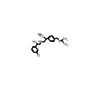 Br.CC(C)SCc1ccc(C(C)CNCC(O)c2cccc(Cl)c2)cc1